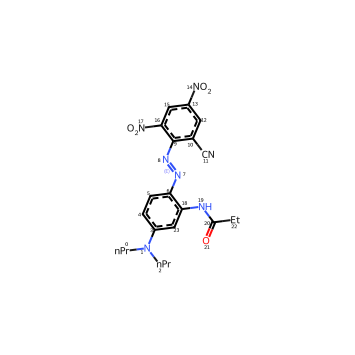 CCCN(CCC)c1ccc(/N=N/c2c(C#N)cc([N+](=O)[O-])cc2[N+](=O)[O-])c(NC(=O)CC)c1